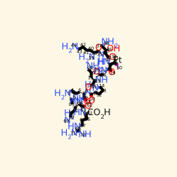 C=CN/C(=C\N)C[C@H](NC(=O)[C@@H]1CCCN1C(=O)[C@@H](CCCN)NC(=O)CNC(=O)[C@@H](NC(=O)[C@@H](NC(=O)[C@@H](N)CCCCN)[C@@H](O)CN)C(I)CC)C(=O)N[C@@H](CCCCN)C(=O)N/C(=C\CCNC(=N)N)C(=O)O